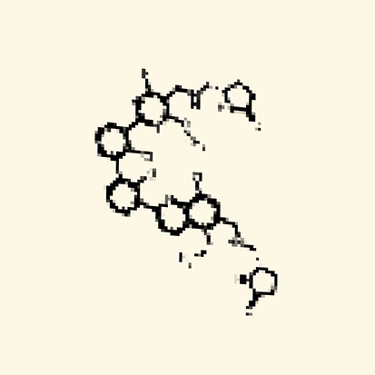 COc1nc(-c2cccc(-c3cccc(-c4ccc5c(OC)c(CNC[C@@H]6CCC(=O)N6)cc(Cl)c5n4)c3Cl)c2Cl)cc(F)c1CNC[C@@H]1CCC(=O)N1